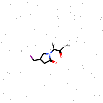 CC[C@@H](C(=O)NC)N1CC(CI)CC1=O